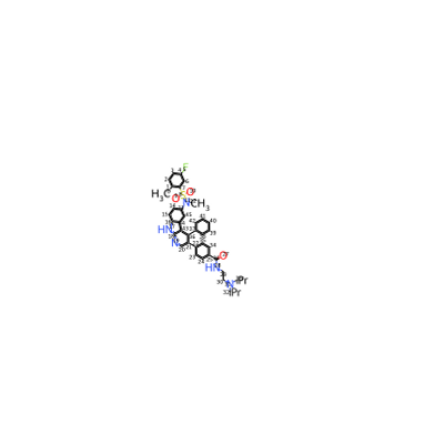 Cc1ccc(F)cc1S(=O)(=O)N(C)c1ccc2[nH]c3ncc(-c4ccc(C(=O)NCCN(C(C)C)C(C)C)cc4)c(-c4ccccc4)c3c2c1